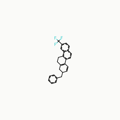 FC(F)(F)c1ccc2ccc3c(c2c1)CCC1=C3C=CC(Cc2ccccc2)C1